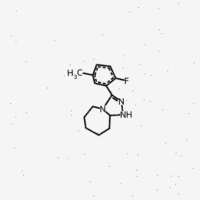 Cc1ccc(F)c(C2=NNC3CCCCCN23)c1